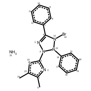 Cc1nc(N2N=C(c3ccccc3)N(Br)N2c2ccccc2)sc1C.N